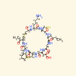 CCCC[C@@H]1NC(=O)[C@H](CS)NC(=O)[C@H](CCCCN)NC(=O)CSC[C@@H](C(C)=O)NC(=O)[C@H](Cc2ccccc2)NC(=O)[C@H](CS)NC(=O)[C@H](CC(=O)O)NC(=O)CNC1=O